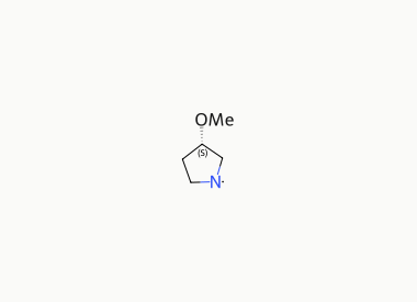 CO[C@H]1CC[N]C1